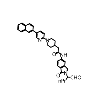 CCCC(C=O)N1Cc2cc(NC(=O)CC3CCN(c4ccc(-c5ccc6ccccc6c5)cn4)CC3)ccc2C1=O